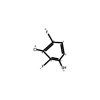 Fc1ccc(S)c(F)c1Cl